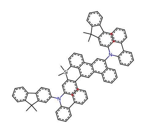 CC1(C)c2ccccc2-c2ccc(N(c3ccc4c(c3)[Si](C)(C)c3cccc5c3c-4cc3c4ccccc4c(N(c4ccc6c(c4)C(C)(C)c4ccccc4-6)c4ccccc4-c4ccccc4)cc53)c3ccccc3-c3ccccc3)cc21